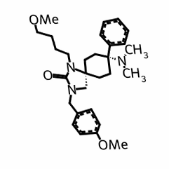 COCCCCN1C(=O)N(Cc2ccc(OC)cc2)C[C@]12CC[C@@](c1ccccc1)(N(C)C)CC2